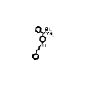 CN(C)C(c1ccccc1)C1CCC(NCCCc2ccccc2)CC1